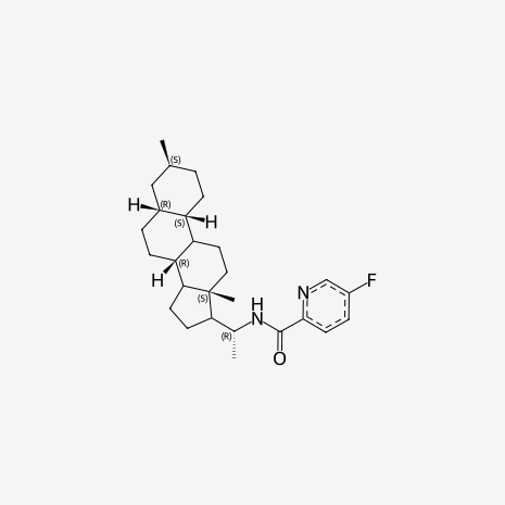 C[C@H]1CC[C@@H]2C3CC[C@@]4(C)C(CCC4[C@@H](C)NC(=O)c4ccc(F)cn4)[C@@H]3CC[C@@H]2C1